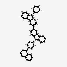 C1=Cc2ccccc2C(c2ccc(-n3c4ccccc4c4cc(-c5ccc6c(c5)c5ccccc5n6-c5ccccc5)ccc43)cc2)C1